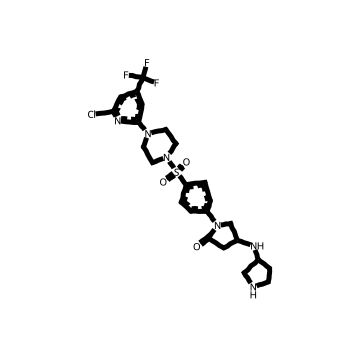 O=C1CC(NC2CCNC2)CN1c1ccc(S(=O)(=O)N2CCN(c3cc(C(F)(F)F)cc(Cl)n3)CC2)cc1